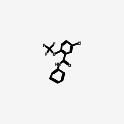 O=C(Nc1ccccc1)c1cc(Cl)ccc1OC(F)(F)F